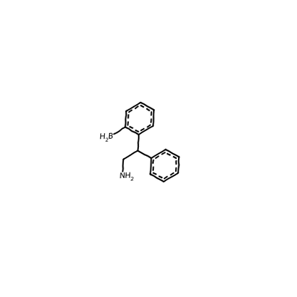 Bc1ccccc1C(CN)c1ccccc1